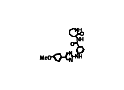 COc1ccc(-c2cnc(Nc3cccc(C(=O)NC4CCCCNC4=O)c3)nc2)cc1